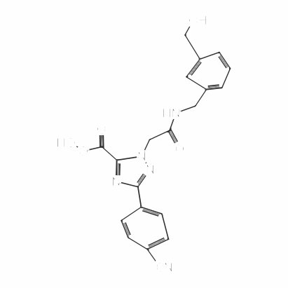 N#Cc1ccc(-c2nc(C(=O)OO)n(CC(=O)NCc3cccc(CO)c3)n2)cc1